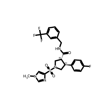 Cn1cnc(S(=O)(=O)N2C[C@H](C(=O)NCc3cccc(C(F)(F)F)c3)[C@@H](c3ccc(F)cc3)C2)c1